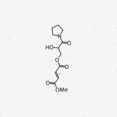 COC(=O)/C=C/C(=O)OCC(O)C(=O)N1CCCC1